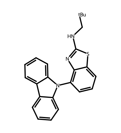 CC(C)(C)CNc1nc2c(-n3c4ccccc4c4ccccc43)cccc2s1